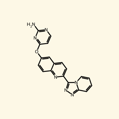 Nc1nccc(Oc2ccc3nc(-c4nnc5ccccn45)ccc3c2)n1